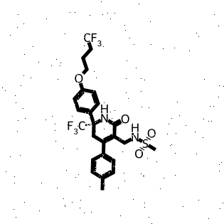 Cc1ccc(C2=C(CNS(C)(=O)=O)C(=O)N[C@@](c3ccc(OCCCC(F)(F)F)cc3)(C(F)(F)F)C2)cc1